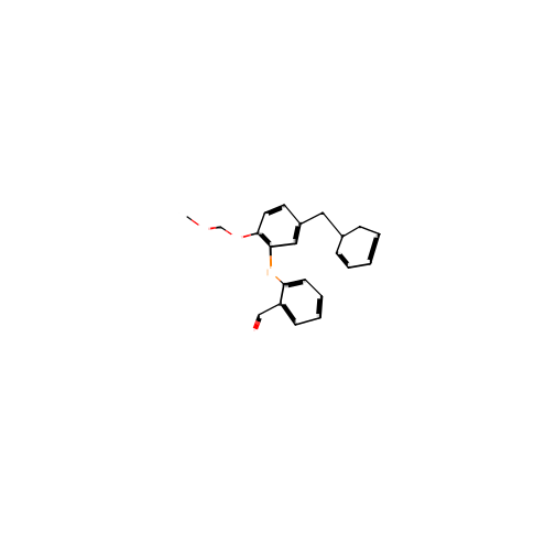 COCOc1ccc(CC2C=CC=CC2)cc1Pc1ccccc1C=O